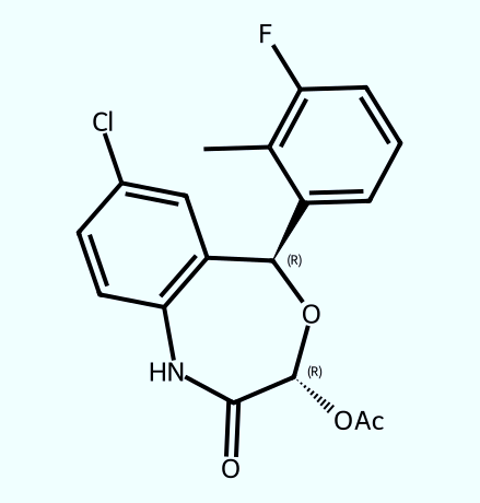 CC(=O)O[C@H]1O[C@H](c2cccc(F)c2C)c2cc(Cl)ccc2NC1=O